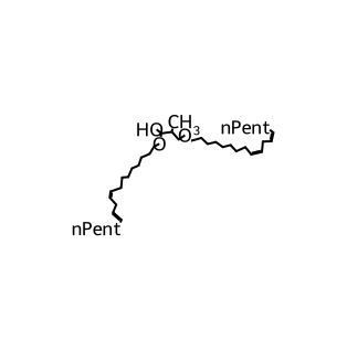 CCCCCC=CC/C=C\CCCCCCCCOC(O)C(C)COCCCCCCCC/C=C\C/C=C\CCCCC